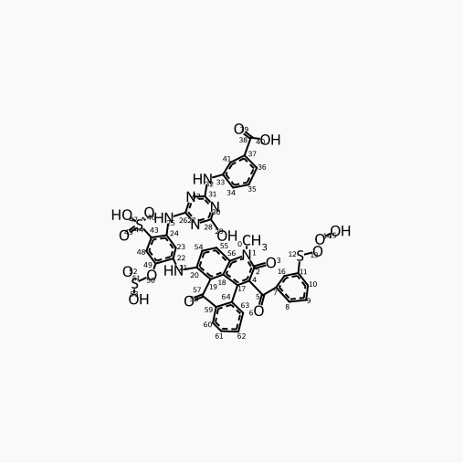 Cn1c(=O)c(C(=O)c2cccc(SOOO)c2)c2c3c(c(Nc4cc(Nc5nc(O)nc(Nc6cccc(C(=O)O)c6)n5)c(S(=O)(=O)O)cc4OS(=O)O)ccc31)C(=O)c1ccccc1-2